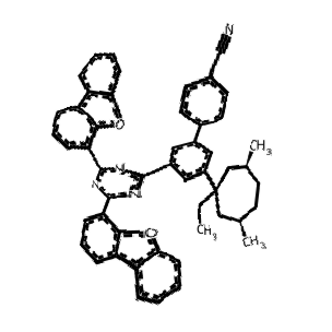 CCC1(c2cc(-c3ccc(C#N)cc3)cc(-c3nc(-c4cccc5c4oc4ccccc45)nc(-c4cccc5c4oc4ccccc45)n3)c2)C[C@H](C)CC[C@H](C)C1